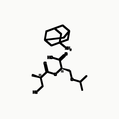 CC(C)OC[C@H](OC(=O)[C@H](C)CS)C(=O)O.NC12CC3CC(CC(C3)C1)C2